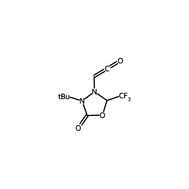 CC(C)(C)N1C(=O)OC(C(F)(F)F)N1C=C=O